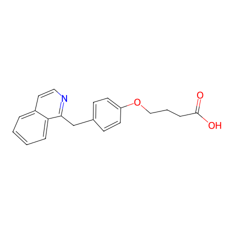 O=C(O)CCCOc1ccc(Cc2nccc3ccccc23)cc1